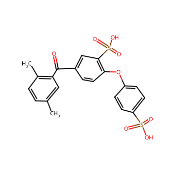 Cc1ccc(C)c(C(=O)c2ccc(Oc3ccc(S(=O)(=O)O)cc3)c(S(=O)(=O)O)c2)c1